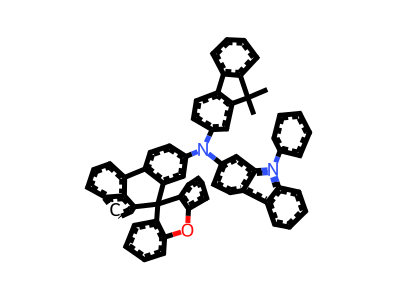 CC1(C)c2ccccc2-c2ccc(N(c3ccc4c(c3)C3(c5ccccc5Oc5ccccc53)c3cccc5cccc-4c35)c3ccc4c5ccccc5n(-c5ccccc5)c4c3)cc21